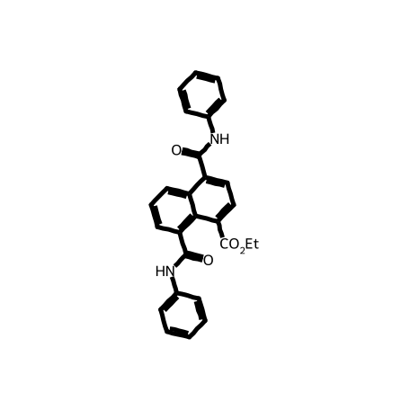 CCOC(=O)c1ccc(C(=O)Nc2ccccc2)c2cccc(C(=O)Nc3ccccc3)c12